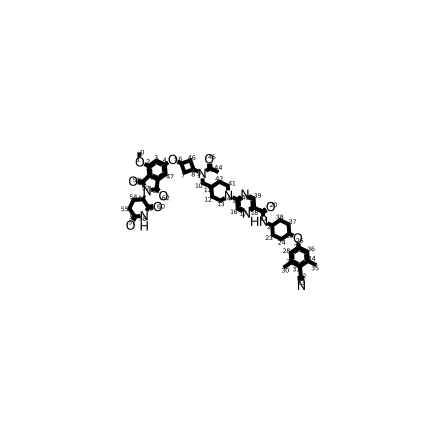 COc1cc(OC2CC(N(CC3CCN(c4cnc(C(=O)NC5CCC(Oc6cc(C)c(C#N)c(C)c6)CC5)cn4)CC3)C(C)=O)C2)cc2c1C(=O)N([C@@H]1CCC(=O)NC1=O)C2=O